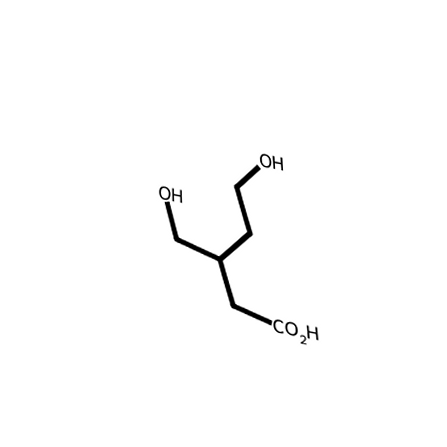 O=C(O)CC(CO)CCO